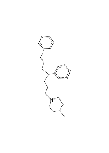 CC1CCN(CCCC(CCCc2ccccc2)c2ccccc2)CC1